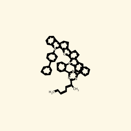 C=C/C=C\C=C(/C)c1nc(-c2ccccc2)nc(-c2ccccc2-n2c3ccccc3c3ccc4c5ccc6c7ccccc7n(-c7ccc(-c8ccccc8)cc7)c6c5oc4c32)n1